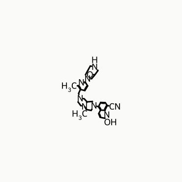 Cc1nc(N2CC3CNCC(C2)O3)ccc1CN1CCN2C(C)CN(c3ccc(C#N)c4nc(O)ccc34)CC2C1